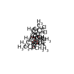 [2H]N(C(C)=O)C1(c2cccc(C)c2C)CCN(CC(C)[C@@H](c2cc(Cl)c(Cl)c(C)c2C)C(C)N(C)C(=O)c2ccc(C)c(C)c2C)C(C)(C)C1C